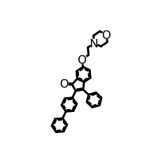 O=C1C(c2ccc(-c3ccccc3)cc2)=C(c2ccccc2)c2ccc(OCCN3CCOCC3)cc21